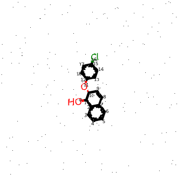 OC1c2ccccc2C=C[C@@H]1Oc1ccc(Cl)cc1